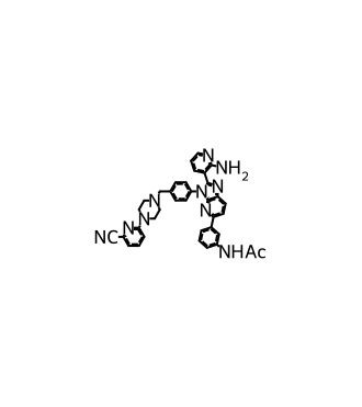 CC(=O)Nc1cccc(-c2ccc3nc(-c4cccnc4N)n(-c4ccc(CN5CCN(c6cccc(C#N)n6)CC5)cc4)c3n2)c1